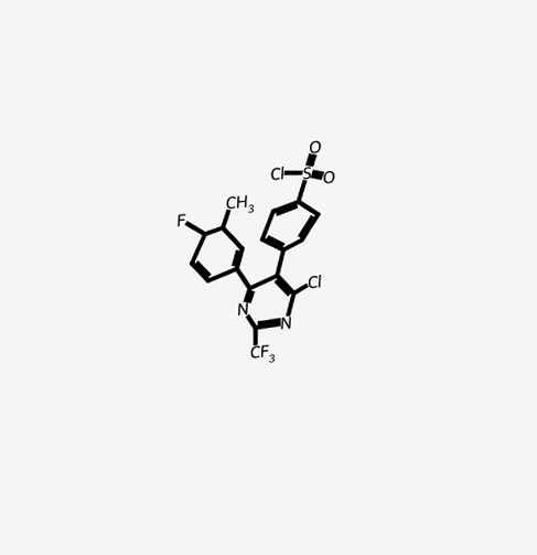 CC1C=C(c2nc(C(F)(F)F)nc(Cl)c2-c2ccc(S(=O)(=O)Cl)cc2)C=CC1F